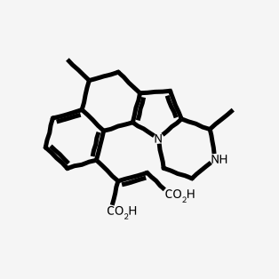 CC1Cc2cc3n(c2-c2c(C(=CC(=O)O)C(=O)O)cccc21)CCNC3C